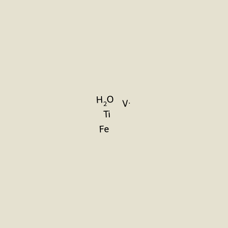 O.[Fe].[Ti].[V]